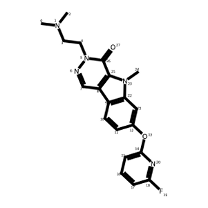 CN(C)CCn1ncc2c3ccc(Oc4cccc(F)n4)cc3n(C)c2c1=O